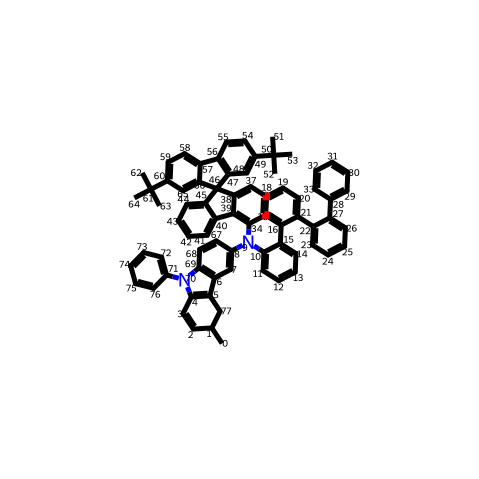 CC1C=Cc2c(c3cc(N(c4ccccc4-c4ccccc4-c4ccccc4-c4ccccc4)c4cccc5c4-c4ccccc4C54c5cc(C(C)(C)C)ccc5-c5ccc(C(C)(C)C)cc54)ccc3n2-c2ccccc2)C1